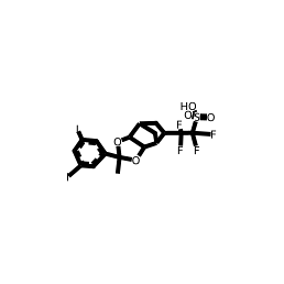 CC1(c2cc(I)cc(I)c2)OC2C3CC(C2O1)C(C(F)(F)C(F)(F)S(=O)(=O)O)C3